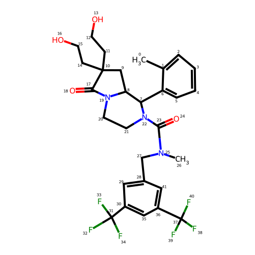 Cc1ccccc1C1C2CC(CCO)(CCO)C(=O)N2CCN1C(=O)N(C)Cc1cc(C(F)(F)F)cc(C(F)(F)F)c1